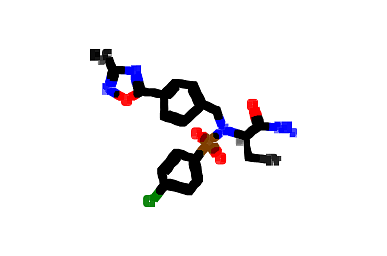 Cc1noc(-c2ccc(CN([C@H](CC(C)C)C(N)=O)S(=O)(=O)c3ccc(Cl)cc3)cc2)n1